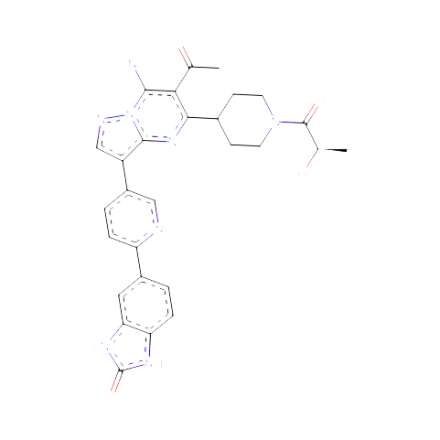 CC(=O)c1c(C2CCN(C(=O)[C@@H](C)O)CC2)nc2c(-c3ccc(-c4ccc5[nH]c(=O)[nH]c5c4)nc3)cnn2c1N